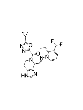 C/C=C1/C(C(F)F)=CC=CN1/N=C/[C@H]1c2nc[nH]c2CCN1C(=O)c1nnc(C2CC2)o1